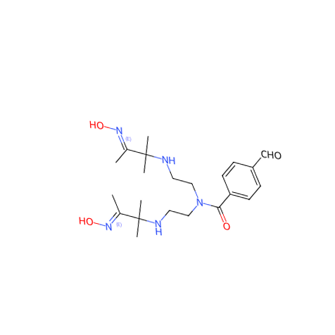 C/C(=N\O)C(C)(C)NCCN(CCNC(C)(C)/C(C)=N/O)C(=O)c1ccc(C=O)cc1